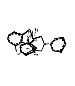 Oc1cccc2c1C13c4c(O)cccc4C[C@H]1CC(c1ccccc1)C[C@@H]3C2